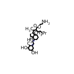 C=C1/C(=C\C=C2/CCC[C@]3(C)[C@@H]([C@H](C)C(CCC(C)C)C(=O)OCCN)CC[C@@H]23)C[C@@H](O)C[C@@H]1O